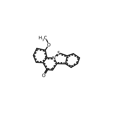 COc1cccc2c(=O)cc3c4ccccc4sn3c12